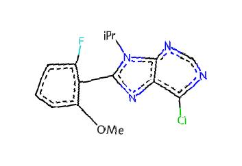 COc1cccc(F)c1-c1nc2c(Cl)ncnc2n1C(C)C